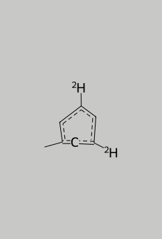 [2H]c1cc([2H])cc(C)c1